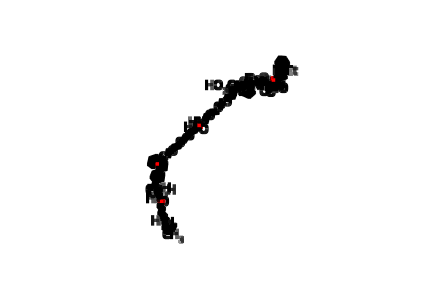 CCc1c2c(nc3ccccc13)-c1cc3c(c(=O)n1C2)COC(=O)[C@@]3(CC)OC(=O)[C@@H](NC(=O)C1CCCN1C(=O)C(CC(=O)O)NC(=O)CCOCCOCCOCCNC(=O)NCCOCCOCCOCCOc1ccc(-c2ccc([C@H](CC(=O)O)NC(=O)CNC(=O)CCCCNc3cc(C)ccn3)cc2)c2ccccc12)C(C)C